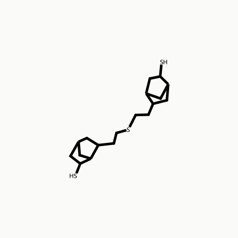 SC1CC2CC1CC2CCSCCC1CC2CC(S)C1C2